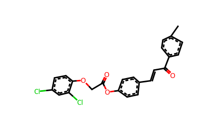 Cc1ccc(C(=O)/C=C/c2ccc(OC(=O)COc3ccc(Cl)cc3Cl)cc2)cc1